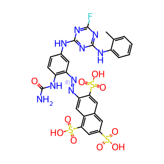 Cc1ccccc1Nc1nc(F)nc(Nc2ccc(NC(N)=O)c(/N=N/c3cc4c(S(=O)(=O)O)cc(S(=O)(=O)O)cc4cc3S(=O)(=O)O)c2)n1